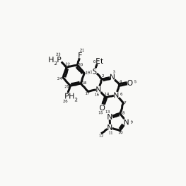 CCSc1nc(=O)n(Cc2ncn(C)n2)c(=O)n1Cc1cc(F)c(P)cc1P